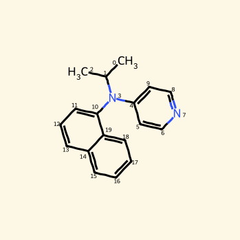 CC(C)N(c1ccncc1)c1cccc2ccccc12